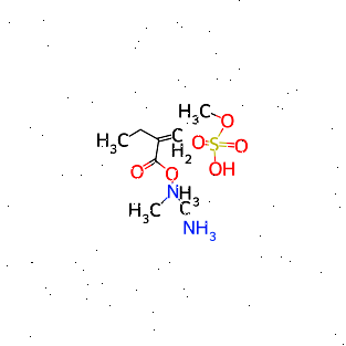 C=C(CC)C(=O)ON(C)C.COS(=O)(=O)O.N